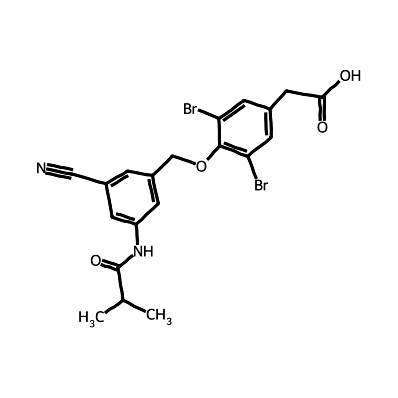 CC(C)C(=O)Nc1cc(C#N)cc(COc2c(Br)cc(CC(=O)O)cc2Br)c1